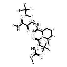 CNC(=O)C(=O)[C@H](CCC(C)(F)F)NC(=O)C1CCCC(C)N1C(=O)[C@@H](NC(=O)OC)C(C)(C)C